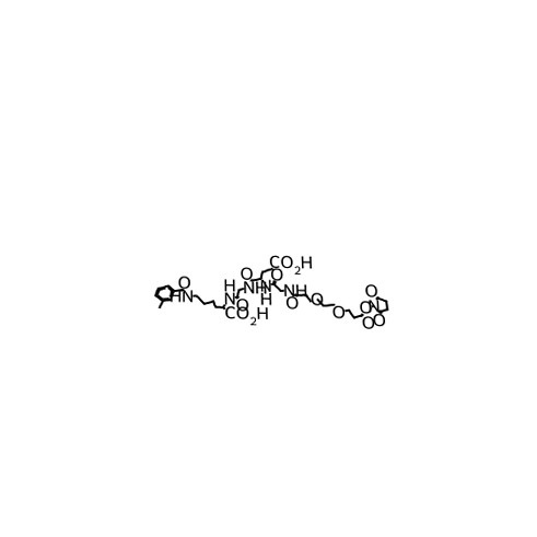 Cc1cccc(C(=O)NCCCCC(NC(=O)CNC(=O)C(CCC(=O)O)NC(=O)CNC(=O)CCOCCOCCC(=O)ON2C(=O)CCC2=O)C(=O)O)c1